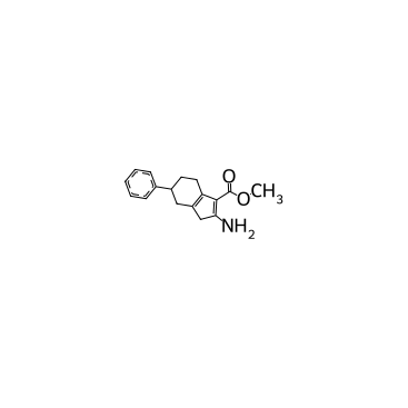 COC(=O)C1=C(N)CC2=C1CCC(c1ccccc1)C2